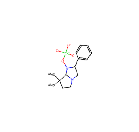 CSC1(SC)CCN2CC(c3ccccc3)N(O[Cl+3]([O-])([O-])[O-])C21